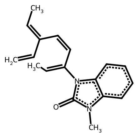 C=CC(/C=C\C(=C/C)n1c(=O)n(C)c2ccccc21)=C/C